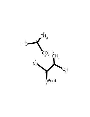 CC(O)C(=O)O.CCCCC[CH]([Na])C(C)O